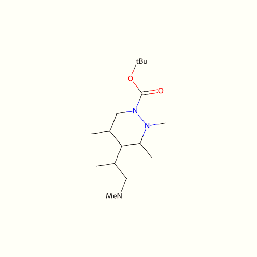 CNCC(C)C1C(C)CN(C(=O)OC(C)(C)C)N(C)C1C